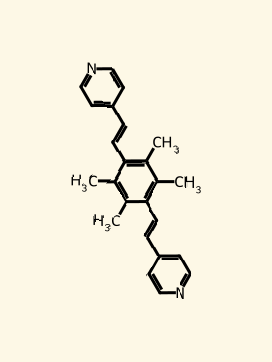 Cc1c(C)c(C=Cc2ccncc2)c(C)c(C)c1C=Cc1ccncc1